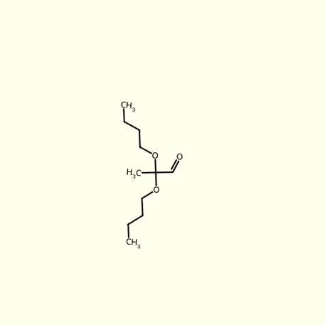 CCCCOC(C)(C=O)OCCCC